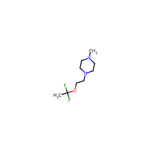 CN1CCN(CCOC(C)(F)F)CC1